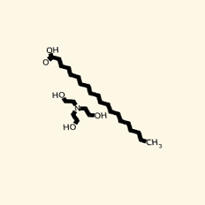 CCCCCCCCCCCCCCCCCCCC(=O)O.OCCN(CCO)CCO